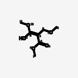 COCC(C(=O)OC)=C(O)OC